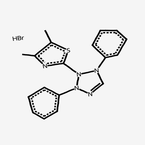 Br.Cc1nc(N2N(c3ccccc3)C=NN2c2ccccc2)sc1C